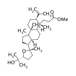 C=C(C)[C@@H]1CC[C@]2(C)[C@H](CC[C@@H]3[C@@H]([C@]4(C)CC[C@H](C(C)(C)O)O4)CC[C@]32C)[C@@]1(C)CCC(=O)OC